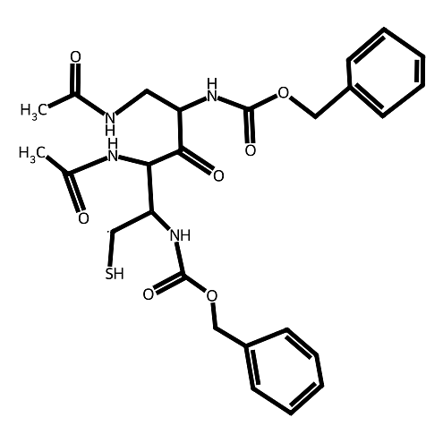 CC(=O)NCC(NC(=O)OCc1ccccc1)C(=O)C(NC(C)=O)C([CH]S)NC(=O)OCc1ccccc1